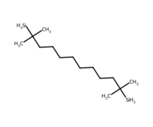 CC(C)([SiH3])CCCCCCCCC(C)(C)[SiH3]